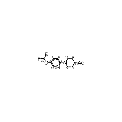 CC(=O)C1CCN(c2ccc(OC(F)F)cn2)CC1